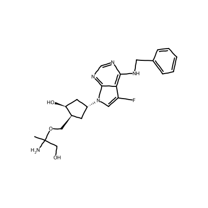 CC(N)(CO)OC[C@@H]1C[C@@H](n2cc(F)c3c(NCc4ccccc4)ncnc32)C[C@@H]1O